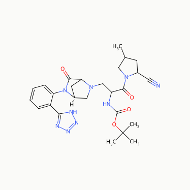 CC1CC(C#N)N(C(=O)C(CN2C[C@@H]3CC2C(=O)N3c2ccccc2-c2nnn[nH]2)NC(=O)OC(C)(C)C)C1